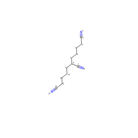 N#CCCCCC(C#N)CCCCC#N